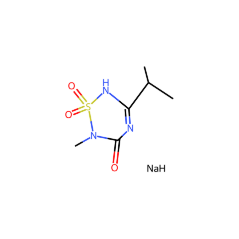 CC(C)C1=NC(=O)N(C)S(=O)(=O)N1.[NaH]